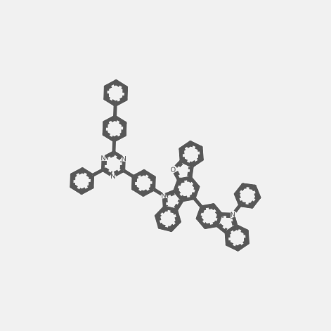 c1ccc(-c2ccc(-c3nc(-c4ccccc4)nc(-c4ccc(-n5c6ccccc6c6c(-c7ccc8c9ccccc9n(-c9ccccc9)c8c7)cc7c8ccccc8oc7c65)cc4)n3)cc2)cc1